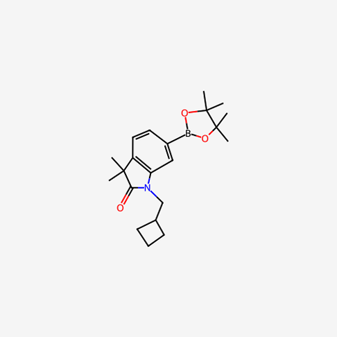 CC1(C)C(=O)N(CC2CCC2)c2cc(B3OC(C)(C)C(C)(C)O3)ccc21